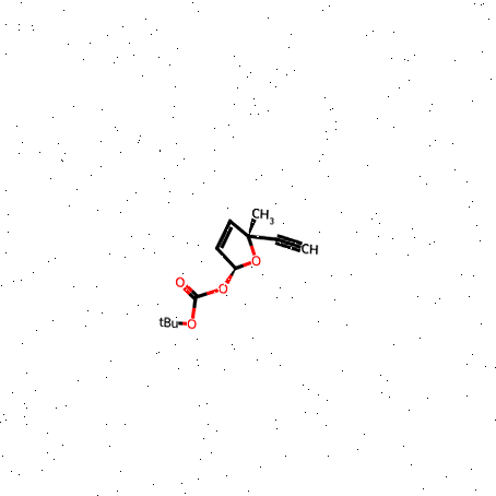 C#C[C@@]1(C)C=C[C@H](OC(=O)OC(C)(C)C)O1